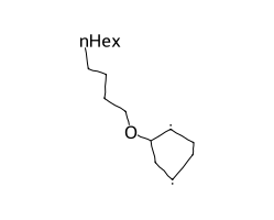 CCCCCCCCCCOC1[CH]CC[CH]C1